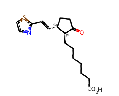 O=C(O)CCCCCC[C@@H]1C(=O)CC[C@H]1C=Cc1nccs1